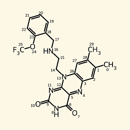 Cc1cc2nc3c(=O)[nH]c(=O)nc-3n(CCNCc3ccccc3OC(F)(F)F)c2cc1C